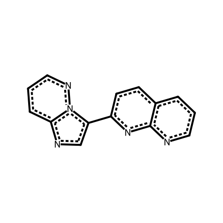 c1cnc2nc(-c3cnc4cccnn34)ccc2c1